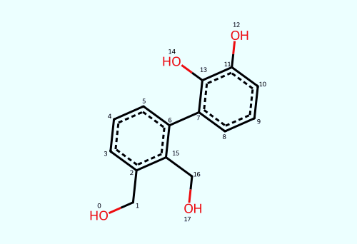 OCc1cccc(-c2cccc(O)c2O)c1CO